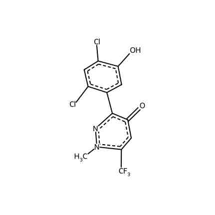 Cn1nc(-c2cc(O)c(Cl)cc2Cl)c(=O)cc1C(F)(F)F